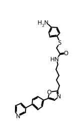 Nc1ccc(SCC(=O)NCCCCCc2ncc(-c3ccc(-c4cccnc4)cc3)o2)cc1